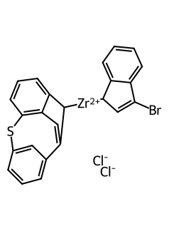 BrC1=C[CH]([Zr+2][CH]2C3=Cc4c(cccc42)Sc2cccc3c2)c2ccccc21.[Cl-].[Cl-]